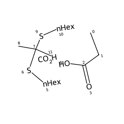 CCC(=O)O.CCCCCCSC(C)(SCCCCCC)C(=O)O